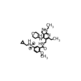 CCc1nc2c(cnn2CC)c(NC2CCOCC2)c1CNC(=O)c1cc(S(=O)(=O)NCC2CC2)ccc1OC